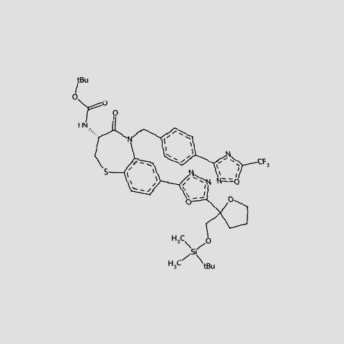 CC(C)(C)OC(=O)N[C@H]1CSc2ccc(-c3nnc(C4(CO[Si](C)(C)C(C)(C)C)CCCO4)o3)cc2N(Cc2ccc(-c3noc(C(F)(F)F)n3)cc2)C1=O